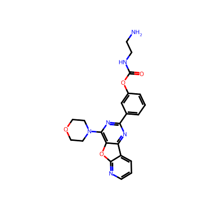 NCCNC(=O)Oc1cccc(-c2nc(N3CCOCC3)c3oc4ncccc4c3n2)c1